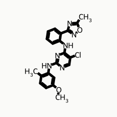 COc1ccc(C)c(Nc2ncc(Cl)c(Nc3ccccc3-c3noc(C)n3)n2)c1